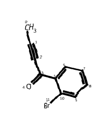 CC#CC(=O)c1ccccc1Br